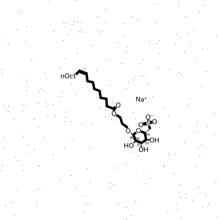 CCCCCCCC/C=C\CCCCCCCC(=O)OCCCO[C@@H]1O[C@H](CS(=O)(=O)[O-])[C@@H](O)[C@H](O)[C@H]1O.[Na+]